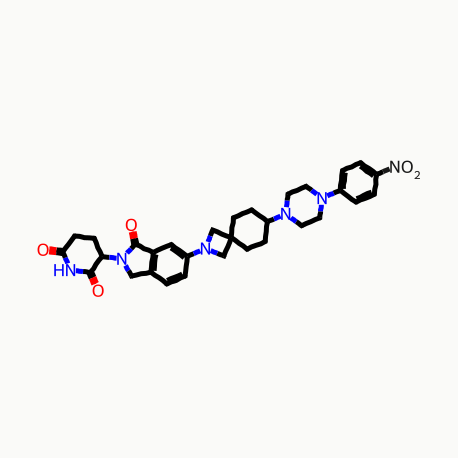 O=C1CCC(N2Cc3ccc(N4CC5(CCC(N6CCN(c7ccc([N+](=O)[O-])cc7)CC6)CC5)C4)cc3C2=O)C(=O)N1